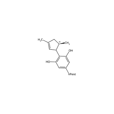 CCCCCc1cc(O)c(C2C=C(C)C[C@H]2C)c(O)c1